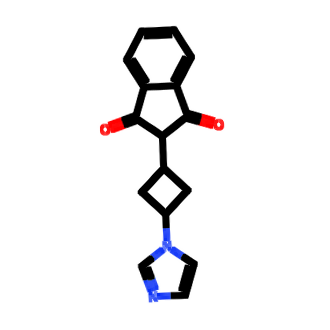 O=C1c2ccccc2C(=O)C1C1CC(n2ccnc2)C1